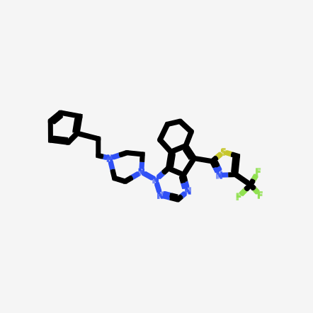 FC(F)(F)c1csc(-c2c3ncnn(N4CCN(CCc5ccccc5)CC4)c-3c3c2CCCC3)n1